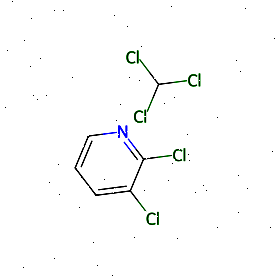 ClC(Cl)Cl.Clc1cccnc1Cl